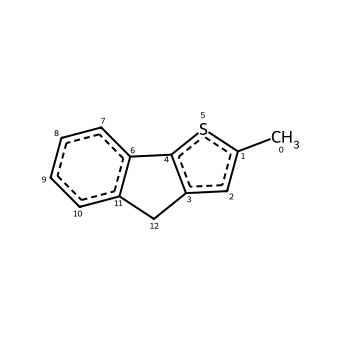 Cc1cc2c(s1)-c1ccccc1C2